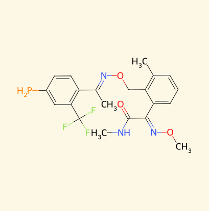 CNC(=O)/C(=N/OC)c1cccc(C)c1CO/N=C(\C)c1ccc(P)cc1C(F)(F)F